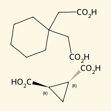 O=C(O)CC1(CC(=O)O)CCCCC1.O=C(O)[C@@H]1C[C@H]1C(=O)O